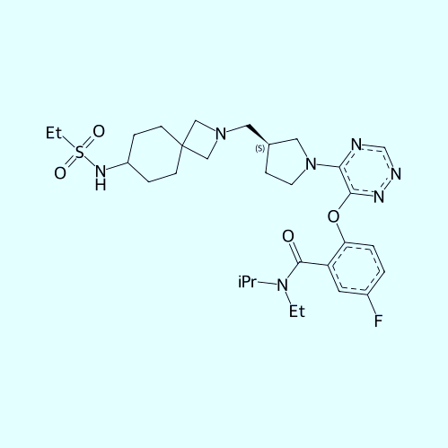 CCN(C(=O)c1cc(F)ccc1Oc1nncnc1N1CC[C@@H](CN2CC3(CCC(NS(=O)(=O)CC)CC3)C2)C1)C(C)C